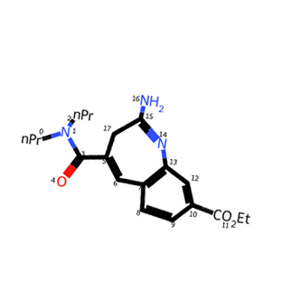 CCCN(CCC)C(=O)C1=Cc2ccc(C(=O)OCC)cc2N=C(N)C1